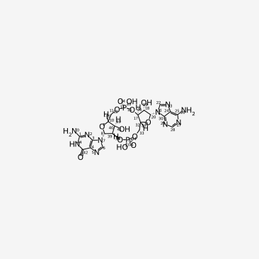 Nc1nc2c(ncn2[C@@H]2O[C@@H]3COP(=O)(O)O[C@H]4[C@H](O)[C@H](n5cnc6c(N)ncnc65)O[C@@H]4COP(=O)(O)O[C@@H]2[C@@H]3O)c(=O)[nH]1